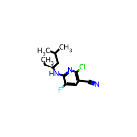 CC[C@@H](CC(C)C)Nc1nc(Cl)c(C#N)cc1F